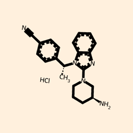 C[C@H](c1ccc(C#N)cc1)n1c(N2CCC[C@H](N)C2)nc2ccccc21.Cl